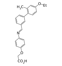 CCOc1ccc(-c2cccc(C=Nc3ccc(OCC(=O)O)cc3)c2)c(C)c1